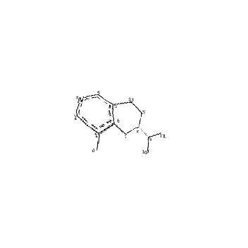 Cc1cncc2c1C[C@@H](C(C)C)CC2